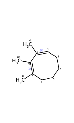 CC1=C/CCCC/C(C)=C\1C